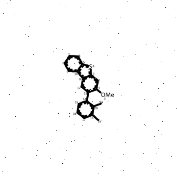 COc1cc2sc3ccccc3c2cc1-c1cccc(C)c1C